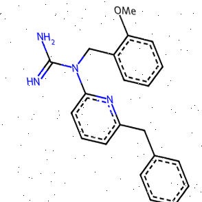 COc1ccccc1CN(C(=N)N)c1cccc(Cc2ccccc2)n1